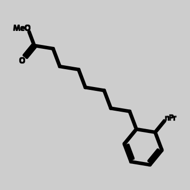 CCCC1C=CC=CC1CCCCCCCC(=O)OC